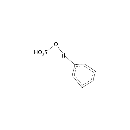 O=S(=O)(O)[O][Tl][c]1ccccc1